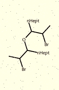 CCCCCCCC(OC(CCCCCCC)C(C)Br)C(C)Br